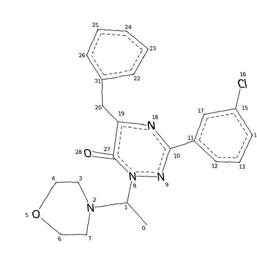 CC(N1CCOCC1)n1nc(-c2cccc(Cl)c2)nc(Cc2ccccc2)c1=O